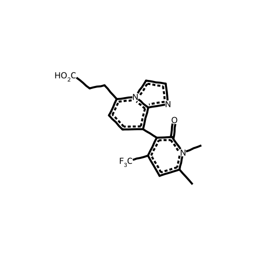 Cc1cc(C(F)(F)F)c(-c2ccc(CCC(=O)O)n3ccnc23)c(=O)n1C